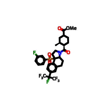 COC(=O)C1CC[C@@H](C(=O)N2CCC3(S(=O)(=O)c4cccc(F)c4)c4ccc(C(F)(C(F)(F)F)C(F)(F)F)cc4CCC23)[C@@H](C)C1